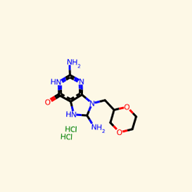 Cl.Cl.Nc1nc2c(c(=O)[nH]1)NC(N)N2CC1COCCO1